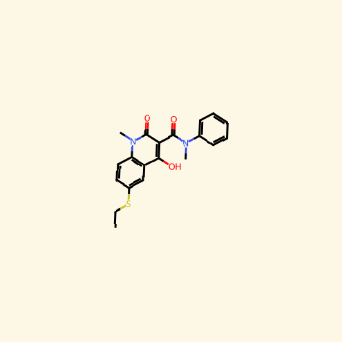 CCSc1ccc2c(c1)c(O)c(C(=O)N(C)c1ccccc1)c(=O)n2C